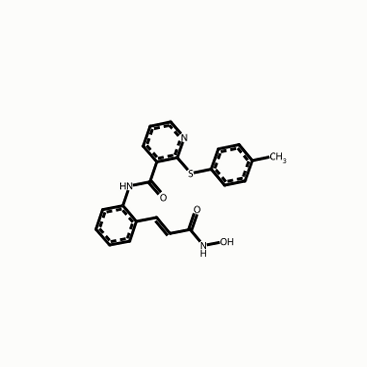 Cc1ccc(Sc2ncccc2C(=O)Nc2ccccc2C=CC(=O)NO)cc1